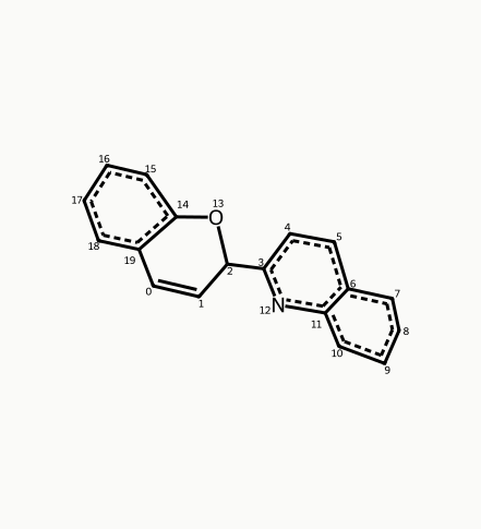 C1=CC(c2ccc3ccccc3n2)Oc2ccccc21